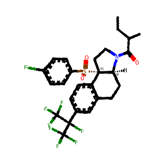 CCC(C)C(=O)N1CC[C@]2(S(=O)(=O)c3ccc(F)cc3)c3ccc(C(F)(C(F)(F)F)C(F)(F)F)cc3CC[C@H]12